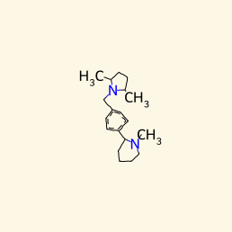 CC1CCC(C)N1Cc1ccc(C2CCCCN2C)cc1